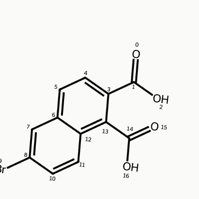 O=C(O)c1ccc2cc(Br)ccc2c1C(=O)O